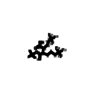 CC(C)(C)OC(=O)C(CCCC(F)(F)F)C(CCC(F)(F)F)C(=O)O